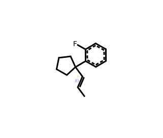 C/C=C/C1(c2ccccc2F)CCCC1